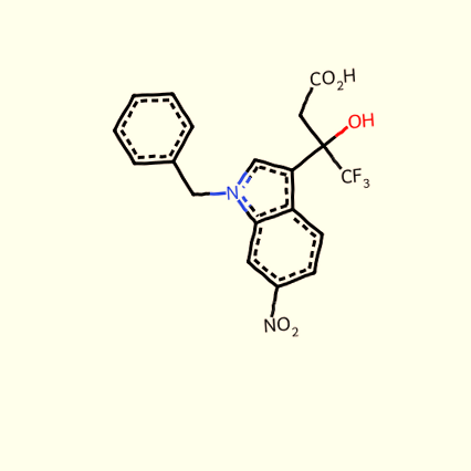 O=C(O)CC(O)(c1cn(Cc2ccccc2)c2cc([N+](=O)[O-])ccc12)C(F)(F)F